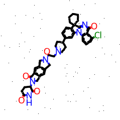 O=C1CCC(N2Cc3cc4c(cc3C2=O)CN(C(=O)CN2CCC(c3ccc5c(c3)-n3c(nc(=O)c6c(Cl)cccc63)C53CCCCC3)CC2)C4)C(=O)N1